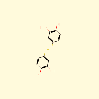 Oc1ccc(SSc2ccc(O)c(O)c2)cc1O